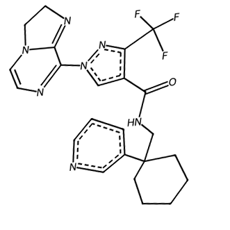 O=C(NCC1(c2cccnc2)CCCCC1)c1cn(C2=NC=CN3CCN=C23)nc1C(F)(F)F